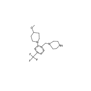 COC1CCN(c2cc(C(F)(F)F)ccc2CN2CCNCC2)CC1